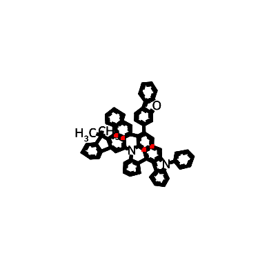 CC1(C)c2ccccc2-c2cc(N(c3ccccc3-c3cccc4c3c3ccccc3n4-c3ccccc3)c3cccc(-c4ccc5c(c4)oc4ccccc45)c3-c3ccc4ccccc4c3)ccc21